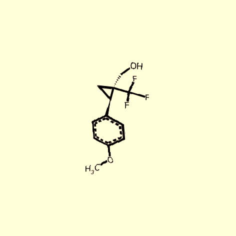 COc1ccc([C@H]2C[C@@]2(CO)C(F)(F)F)cc1